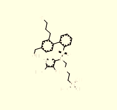 Cc1noc(N(COCC[Si](C)(C)C)S(=O)(=O)c2ccccc2-c2ccc(CO)cc2CCCF)c1C